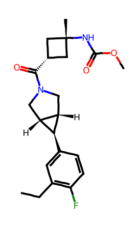 CCc1cc([C@H]2[C@@H]3CN(C(=O)[C@H]4C[C@@](C)(NC(=O)OC)C4)C[C@@H]32)ccc1F